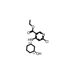 CCOC(=O)c1cnc(Cl)cc1N[C@H]1CCC[C@H](O)C1